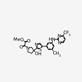 COC(=O)C(=O)N1CCC(O)(c2ncc(-c3cc(C)cc(Nc4nccc(C(F)(F)F)n4)c3)s2)C1